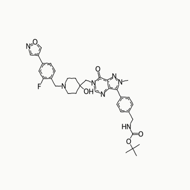 Cn1nc2c(=O)n(CC3(O)CCN(Cc4ccc(-c5cnoc5)cc4F)CC3)cnc2c1-c1ccc(CNC(=O)OC(C)(C)C)cc1